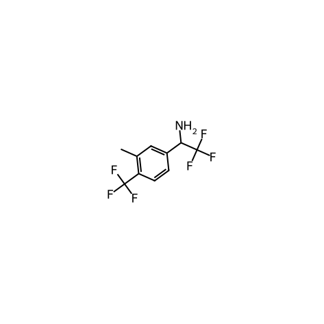 Cc1cc(C(N)C(F)(F)F)ccc1C(F)(F)F